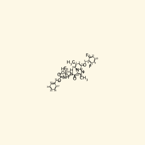 Cc1cc(OCc2c(F)cccc2F)c2nc(C)c(C(=O)NCC(C)(CF)NC(=O)OCc3ccccc3)n2c1